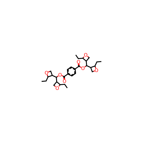 CCC1OCC1C(OC(=O)c1ccc(C(=O)OC(C2COC2CC)C2COC2CC)cc1)C1COC1CC